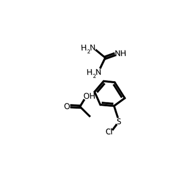 CC(=O)O.ClSc1ccccc1.N=C(N)N